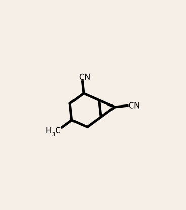 CC1CC(C#N)C2C(C#N)C2C1